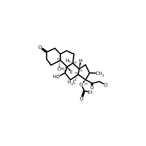 CCC(=O)O[C@]1(C(=O)CCl)C(C)C[C@H]2[C@@H]3CCC4CC(=O)CC[C@]4(C)[C@@]3(F)C(O)C[C@@]21C